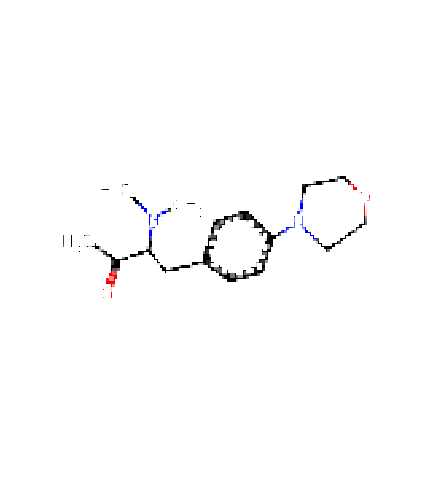 CC(=O)C(Cc1ccc(N2CCOCC2)cc1)N(C)C